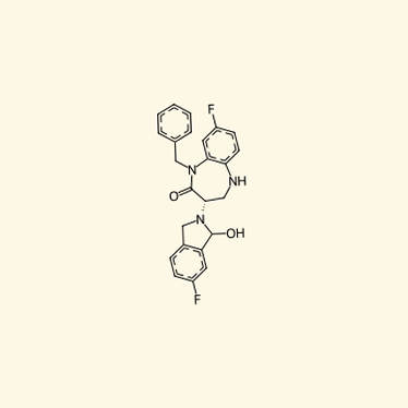 O=C1[C@@H](N2Cc3ccc(F)cc3C2O)CNc2ccc(F)cc2N1Cc1ccccc1